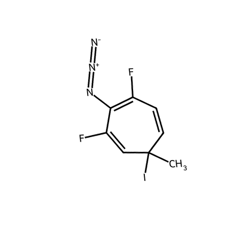 CC1(I)C=CC(F)=C(N=[N+]=[N-])C(F)=C1